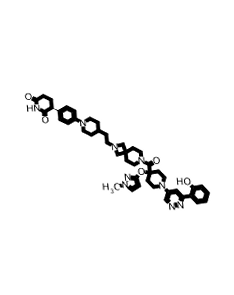 Cn1ccc(OC2(C(=O)N3CCC4(CC3)CN(CCC3CCN(c5ccc([C@H]6CCC(=O)NC6=O)cc5)CC3)C4)CCN(c3cnnc(-c4ccccc4O)c3)CC2)n1